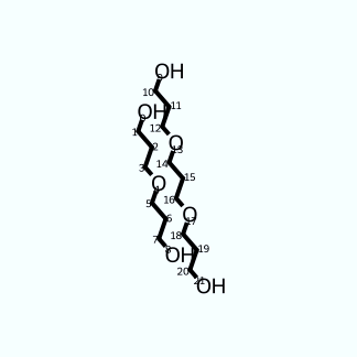 OCCCOCCCO.OCCCOCCCOCCCO